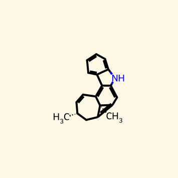 C[C@@H]1C=CC2=c3c([nH]c4ccccc34)=CC3=C(C1)[C@]32C